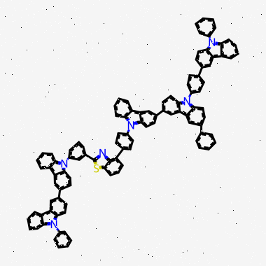 c1ccc(-c2ccc3c(c2)c2cc(-c4ccc5c(c4)c4ccccc4n5-c4ccc(-c5cccc6sc(-c7cccc(-n8c9ccccc9c9cc(-c%10ccc%11c(c%10)c%10ccccc%10n%11-c%10ccccc%10)ccc98)c7)nc56)cc4)ccc2n3-c2ccc(-c3ccc4c(c3)c3ccccc3n4-c3ccccc3)cc2)cc1